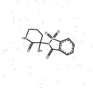 CCCC1(N2C(=O)c3ccccc3S2(=O)=O)CCCNC1=O